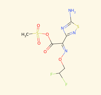 CS(=O)(=O)OC(=O)C(=NOCC(F)F)c1nsc(N)n1